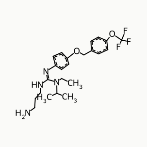 CCN(/C(=N\c1ccc(OCc2ccc(OC(F)(F)F)cc2)cc1)NCCCN)C(C)C